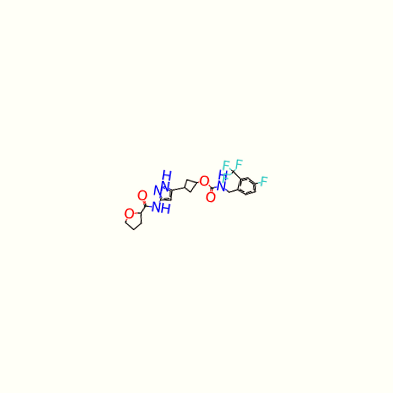 O=C(NCc1ccc(F)cc1C(F)(F)F)OC1CC(c2cc(NC(=O)C3CCCO3)n[nH]2)C1